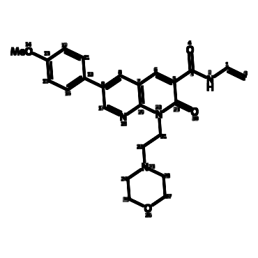 C=CNC(=O)c1cc2cc(-c3ccc(OC)cc3)cnc2n(CCN2CCOCC2)c1=O